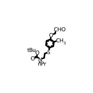 CCCN(CCSc1ccc(OCC=O)c(C)c1)C(=O)OC(C)(C)C